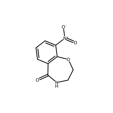 O=C1NCCOc2c1cccc2[N+](=O)[O-]